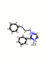 CCn1cc[n+](CCCc2ccccc2)c1-c1ccccc1